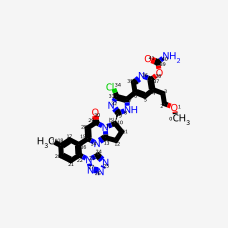 COCCc1cc(-c2[nH]c([C@@H]3CCc4nc(-c5cc(C)ccc5-n5cnnn5)cc(=O)n43)nc2Cl)cnc1OC(N)=O